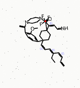 C=C\C=C/C(=C/C=C\C12CCC(/C(=C\C=N)C(F)(F)F)(CC1)C(=O)N1CCN(CC1)C(=C)c1ccc2cc1OC)CC